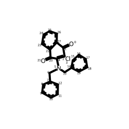 O=C1C(Cl)=C(N(Cc2ccccc2)Cc2ccccc2)C(=O)c2ccccc21